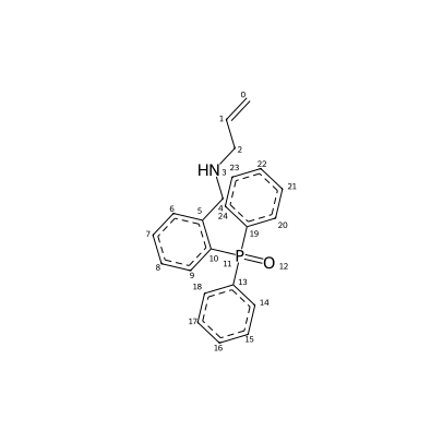 C=CCNCc1ccccc1P(=O)(c1ccccc1)c1ccccc1